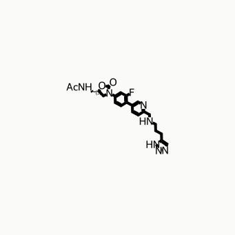 CC(=O)NC[C@H]1CN(c2ccc(-c3ccc(CNCCCc4cnn[nH]4)nc3)c(F)c2)C(=O)O1